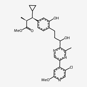 COC(=O)[C@@H](C)[C@H](c1ccc(CCC(O)c2ncc(-c3cc(OC)ncc3Cl)nc2C)c(O)c1)C1CC1